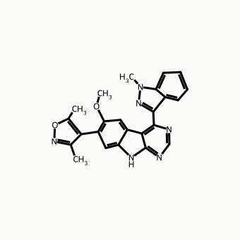 COc1cc2c(cc1-c1c(C)noc1C)[nH]c1ncnc(-c3nn(C)c4ccccc34)c12